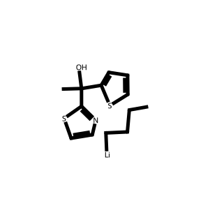 CC(O)(c1cccs1)c1nccs1.[Li][CH2]CCC